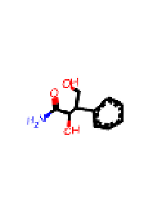 NC(=O)C(O)C(CO)c1ccccc1